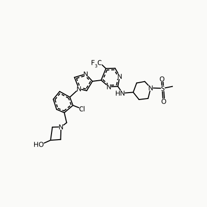 CS(=O)(=O)N1CCC(Nc2ncc(C(F)(F)F)c(-c3cn(-c4cccc(CN5CC(O)C5)c4Cl)cn3)n2)CC1